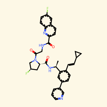 C[C@H](NC(=O)[C@@H]1C[C@@H](F)CN1C(=O)CNC(=O)c1ccc2cc(F)ccc2n1)c1cc(-c2cccnc2)ccc1/C=C/C1CC1